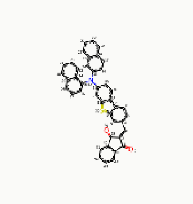 O=C1C(=Cc2ccc3c(c2)sc2cc(N(c4ccc5ccccc5c4)c4cccc5ccccc45)ccc23)C(=O)c2ccccc21